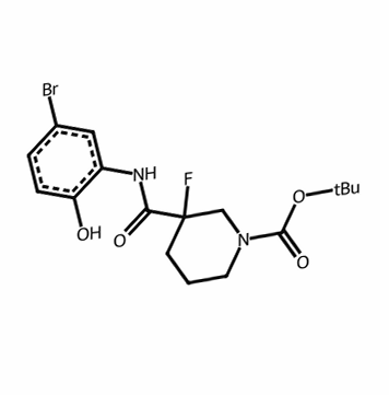 CC(C)(C)OC(=O)N1CCCC(F)(C(=O)Nc2cc(Br)ccc2O)C1